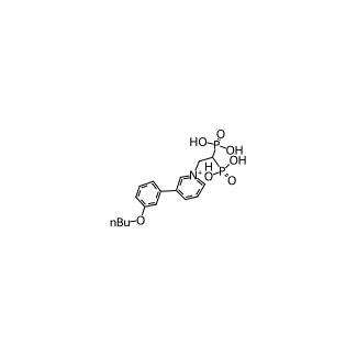 CCCCOc1cccc(-c2ccc[n+](CC(P(=O)(O)O)P(=O)(O)O)c2)c1